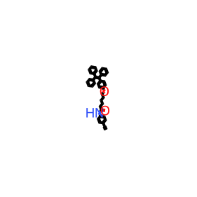 C#Cc1ccc(NC(=O)CCCCCOc2ccc(C(=C(c3ccccc3)c3ccccc3)c3ccccc3)cc2)cc1